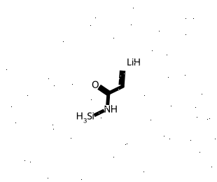 C=CC(=O)N[SiH3].[LiH]